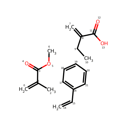 C=C(C)C(=O)OC.C=C(CC)C(=O)O.C=Cc1ccccc1